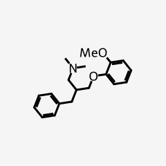 COc1ccccc1OCC(Cc1ccccc1)CN(C)C